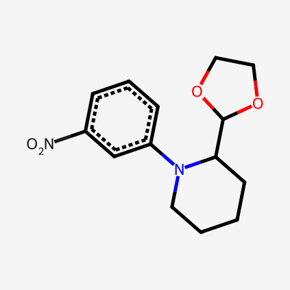 O=[N+]([O-])c1cccc(N2CCCCC2C2OCCO2)c1